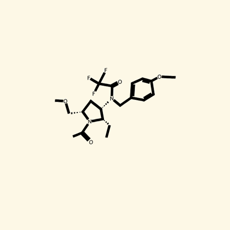 CC[C@H]1[C@@H](N(Cc2ccc(OC)cc2)C(=O)C(F)(F)F)C[C@@H](COC)N1C(C)=O